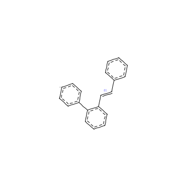 [c]1ccc(-c2ccccc2/C=C/c2ccccc2)cc1